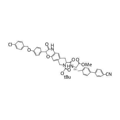 COC(=O)[C@H](Cc1ccc(-c2ccc(C#N)cc2)cc1)NC(=O)C1Cc2cc3c(cc2CN1C(=O)OC(C)(C)C)OC(c1ccc(OCc2ccc(Cl)cc2)cc1)C(=O)N3